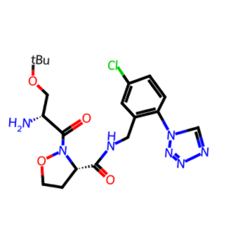 CC(C)(C)OC[C@@H](N)C(=O)N1OCC[C@H]1C(=O)NCc1cc(Cl)ccc1-n1cnnn1